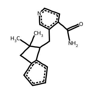 CC1(C)Cc2ccccc2C1Cc1cnccc1C(N)=O